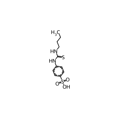 CCCCNC(=S)Nc1ccc(S(=O)(=O)O)cc1